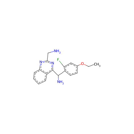 CCOc1ccc(C(N)c2nc(CN)nc3ccccc23)c(F)c1